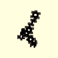 CC1=C(c2ccc(C(F)(F)F)cc2)c2ccc(CCCCN3CCCCC3)cc2S1(=O)=O